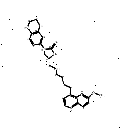 COc1ccc2nccc(CCCCNC[C@@H]3CN(c4ccc5c(c4)OCCO5)C(=O)O3)c2n1